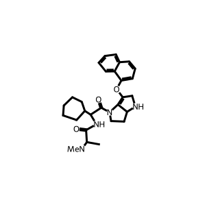 CNC(C)C(=O)NC(C(=O)N1CCC2NCC(Oc3cccc4ccccc34)=C21)C1CCCCC1